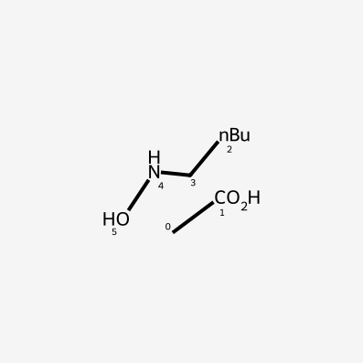 CC(=O)O.CCCCCNO